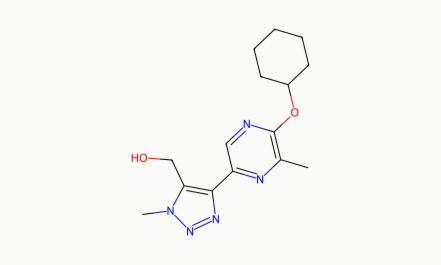 Cc1nc(-c2nnn(C)c2CO)cnc1OC1CCCCC1